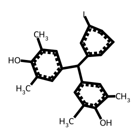 Cc1cc(C(c2cccc(I)c2)c2cc(C)c(O)c(C)c2)cc(C)c1O